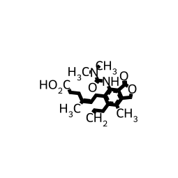 C=CCc1c(C)c2c(c(NC(=O)N(C)C)c1CC=C(C)CCC(=O)O)C(=O)OC2